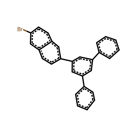 Brc1ccc2cc(-c3cc(-c4ccccc4)cc(-c4ccccc4)c3)ccc2c1